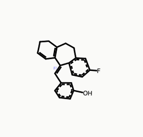 Oc1cccc(/C=C2/C3=C(CCC=C3)CCc3cc(F)ccc32)c1